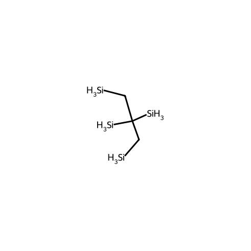 [SiH3]CC([SiH3])([SiH3])C[SiH3]